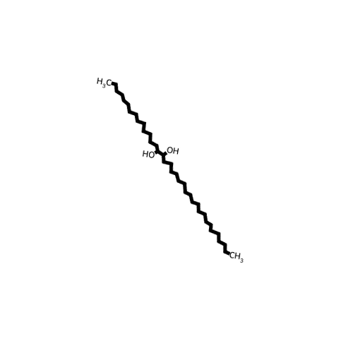 CCCCCCCCCCCCCCCCCCCCC(O)C(O)CCCCCCCCCCCCCC